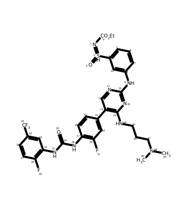 CCOC(=O)/N=[SH](=O)\c1cccc(Nc2ncc(-c3ccc(NC(=O)Nc4cc(C(F)(F)F)ccc4F)c(F)c3)c(NCCCN(C)C)n2)c1